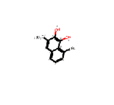 CC(C)(C)c1cccc2cc(C(=O)O)c(O)c(O)c12